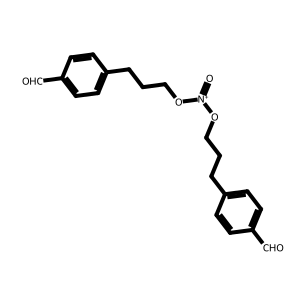 O=Cc1ccc(CCCO[N+](=O)OCCCc2ccc(C=O)cc2)cc1